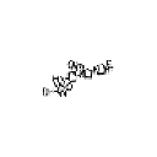 Cn1cc(Br)nc(Nc2ccc(N3CCC(N4CCC(F)(F)CC4)CC3)c([N+](=O)[O-])c2)c1=O